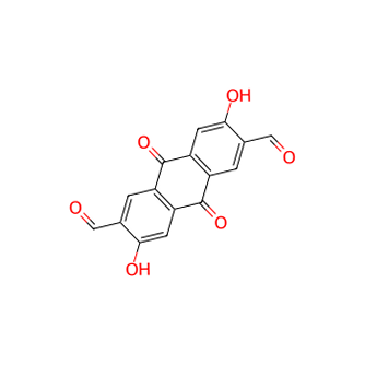 O=Cc1cc2c(cc1O)C(=O)c1cc(C=O)c(O)cc1C2=O